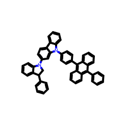 c1ccc(-c2c3ccccc3c(-c3ccc(-n4c5ccccc5c5ccc(N6CC(c7ccccc7)c7ccccc76)cc54)cc3)c3ccccc23)cc1